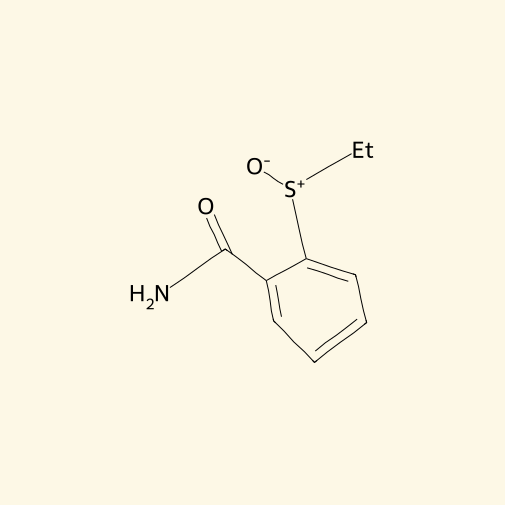 CC[S+]([O-])c1ccccc1C(N)=O